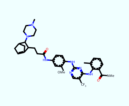 CNC(=O)c1cccc(C)c1Nc1nc(Nc2ccc(NC(=O)CCC3C4=CCC(C4)C3N3CCN(C)CC3)cc2OC)ncc1C(F)(F)F